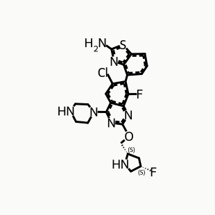 Nc1nc2c(-c3c(Cl)cc4c(N5CCNCC5)nc(OC[C@@H]5C[C@H](F)CN5)nc4c3F)cccc2s1